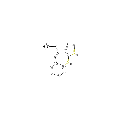 CCC1=Cc2ccccc2Sc2sccc21